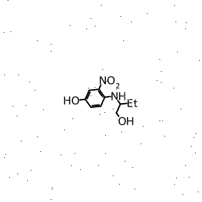 CCC(CO)Nc1ccc(O)cc1[N+](=O)[O-]